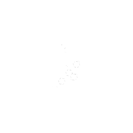 CC(C)(C)OC(=O)N1CCC(C(Nc2cc(-c3ccc(N)cc3)c3nccnc3c2)c2cccnc2)CC1